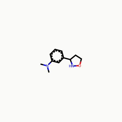 CN(C)c1cccc(C2CCON2)c1